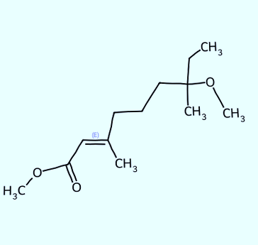 CCC(C)(CCC/C(C)=C/C(=O)OC)OC